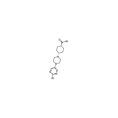 CC(C)c1ncc(N2CCN([C@H]3CC[C@H](C(=O)C(C)C)CC3)CC2)cn1